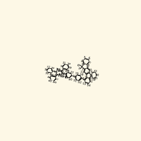 CC1(C)c2ccccc2-c2cc3c(cc21)-c1c(-c2ccc(-c4ccc(C5=C(c6ccccc6)N=C(c6ccccc6)C(C6=CCCC=C6)N5)cc4)cc2)cccc1C31CCCCC1